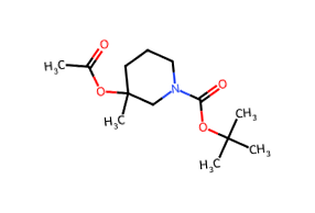 CC(=O)OC1(C)CCCN(C(=O)OC(C)(C)C)C1